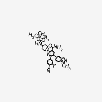 Cn1ncc2cc(-c3cc(C(N)=O)c(N4CCC(NC(=O)OC(C)(C)C)CC4)nc3-c3ccc(C#N)c(F)c3)ccc21